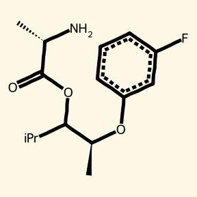 CC(C)C(OC(=O)[C@H](C)N)[C@H](C)Oc1cccc(F)c1